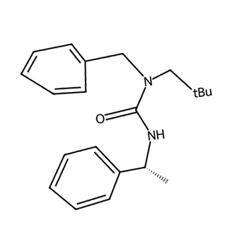 C[C@@H](NC(=O)N(Cc1ccccc1)CC(C)(C)C)c1ccccc1